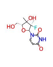 CC1(O)[C@@H](CO)OC(n2ccc(=O)[nH]c2=O)[C@]1(C)F